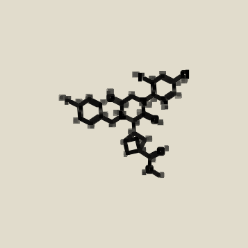 COC(=O)C12CC(C1)C(C1C(=O)N(c3ncc(Cl)cc3F)CC(=O)N1Cc1ccc(F)cc1)C2